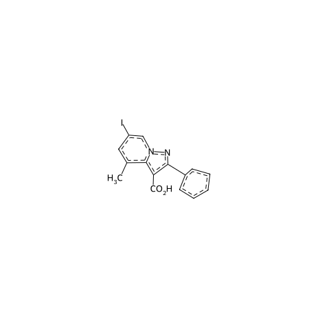 Cc1cc(I)cn2nc(-c3ccccc3)c(C(=O)O)c12